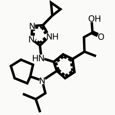 CC(C)CN(c1ccc(C(C)CC(=O)O)cc1Nc1nnc(C2CC2)[nH]1)C1CCCCC1